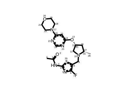 CC(=O)Nc1nc(F)c(CN2C[C@H](Oc3cc(N4CCOCC4)ncn3)C[C@@H]2C)s1